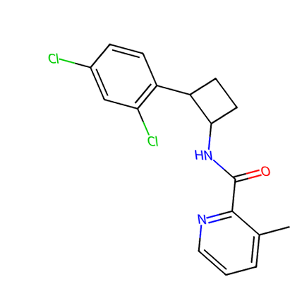 Cc1cccnc1C(=O)NC1CCC1c1ccc(Cl)cc1Cl